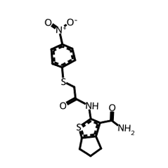 NC(=O)c1c(NC(=O)CSc2ccc([N+](=O)[O-])cc2)sc2c1CCC2